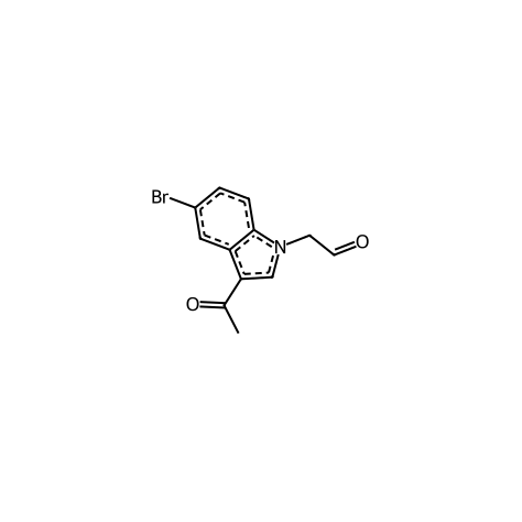 CC(=O)c1cn(CC=O)c2ccc(Br)cc12